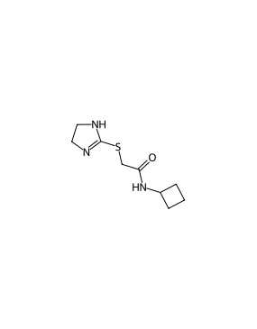 O=C(CSC1=NCCN1)NC1CCC1